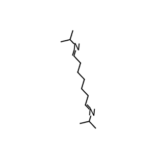 CC(C)N=CCCCCCC=NC(C)C